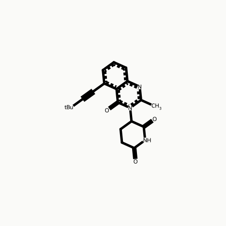 Cc1nc2cccc(C#CC(C)(C)C)c2c(=O)n1C1CCC(=O)NC1=O